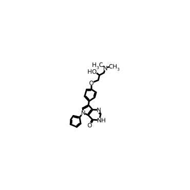 CN(C)CC(O)COc1ccc(-c2cn(-c3ccccc3)c3c(=O)[nH]cnc23)cc1